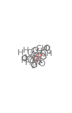 CC(C)[C@@H](N(C(=O)C1(C(N)=O)CCCCC1)[C@H](C(C)C)C(O)(Cc1ccccc1)Cc1ccccc1)C(O)(Cc1ccccc1)Cc1ccccc1